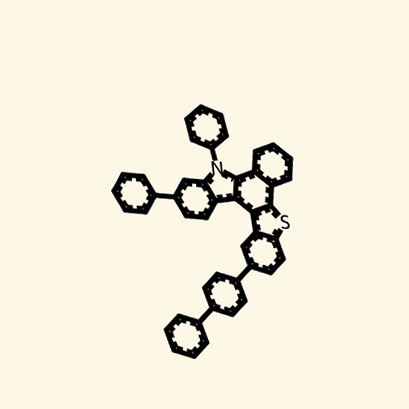 c1ccc(-c2ccc(-c3ccc4sc5c6ccccc6c6c(c7ccc(-c8ccccc8)cc7n6-c6ccccc6)c5c4c3)cc2)cc1